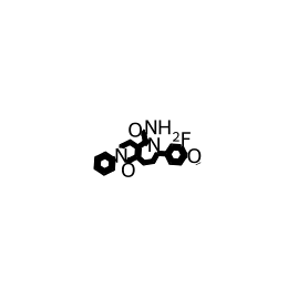 COc1ccc(C2CCC3=C(CCN(c4ccccc4)C3=O)C(C(N)=O)=N2)cc1F